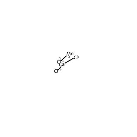 [Cl][Ca][Cl].[Cl][Mn]